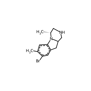 Cc1cc2c(cc1Br)CC1CNC[C@@H](C)N21